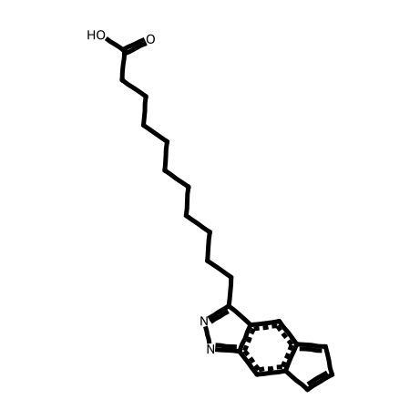 O=C(O)CCCCCCCCCCC1=NN=c2cc3c(cc21)=CC=C3